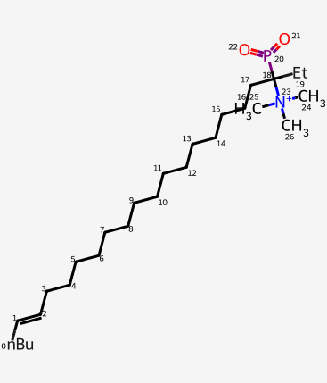 CCCCC=CCCCCCCCCCCCCCCCC(CC)(P(=O)=O)[N+](C)(C)C